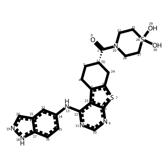 O=C([C@H]1CCc2c(sc3ncnc(Nc4ccc5[nH]ncc5c4)c23)C1)N1CCS(O)(O)CC1